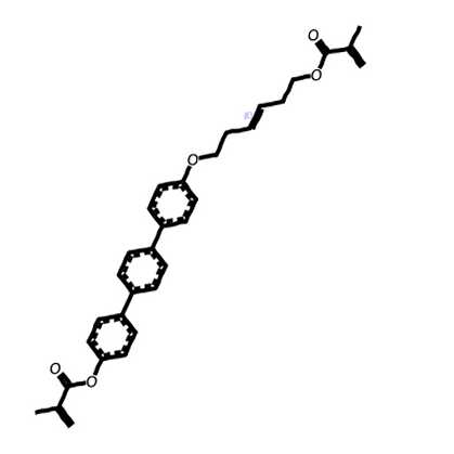 C=C(C)C(=O)OCC/C=C/CCOc1ccc(-c2ccc(-c3ccc(OC(=O)C(=C)C)cc3)cc2)cc1